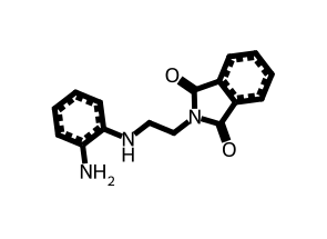 Nc1ccccc1NCCN1C(=O)c2ccccc2C1=O